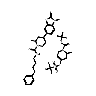 CC1CC(OS(=O)(=O)C(F)(F)F)=CCN1C(=O)OC(C)(C)C.CC1CC(c2ccc3c(c2)oc(=O)n3C)CCN1C(=O)NCCCCc1ccccc1